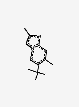 Cc1cn2cc(C(C)(C)C)c(C)cc2n1